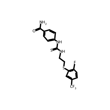 NC(=O)c1ccc(NC(=S)NCCSc2cc(C(F)(F)F)ccc2F)cc1